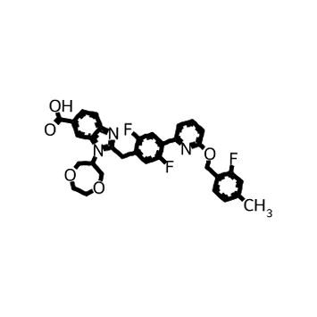 Cc1ccc(COc2cccc(-c3cc(F)c(Cc4nc5ccc(C(=O)O)cc5n4C4COCCOC4)cc3F)n2)c(F)c1